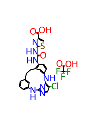 O=C(Nc1nc(C(=O)O)cs1)Nc1ccc2cc1CCc1cccc(c1)Nc1ncc(Cl)c(n1)N2.O=C(O)C(F)(F)F